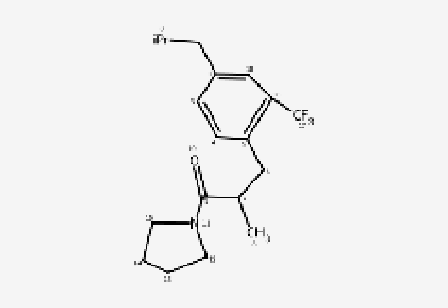 CC(C)Cc1ccc(CC(C)C(=O)N2CCCC2)c(C(F)(F)F)c1